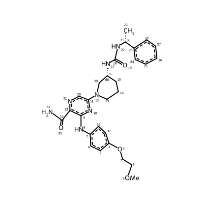 COCCOc1ccc(Nc2nc(N3CCC[C@@H](NC(=O)N[C@H](C)c4ccccc4)C3)cnc2C(N)=O)cc1